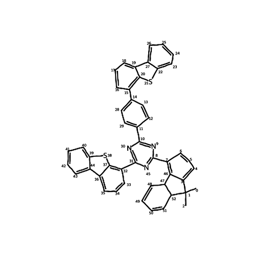 CC1(C)c2cccc(-c3nc(-c4ccc(-c5cccc6c5sc5ccccc56)cc4)nc(-c4cccc5c4sc4ccccc45)n3)c2C2C=CC=CC21